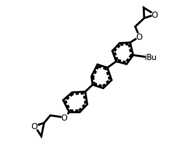 CCC(C)c1cc(-c2ccc(-c3ccc(OCC4CO4)cc3)cc2)ccc1OCC1CO1